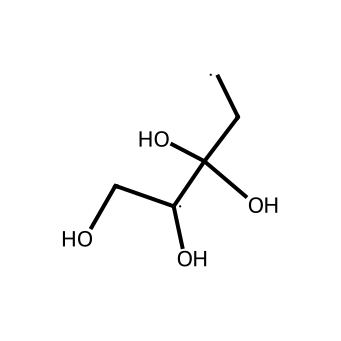 [CH2]CC(O)(O)[C](O)CO